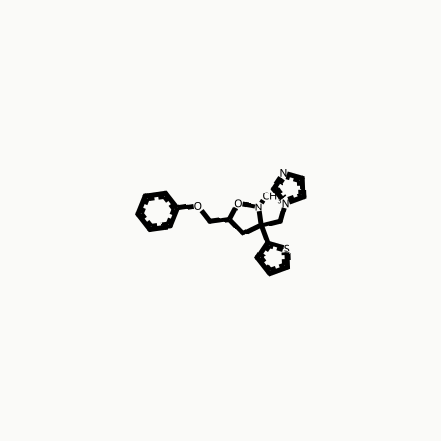 CN1OC(COc2ccccc2)CC1(Cn1ccnc1)c1cccs1